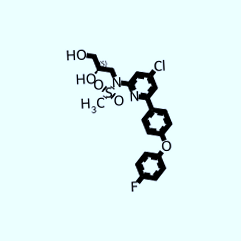 CS(=O)(=O)N(C[C@H](O)CO)c1cc(Cl)cc(-c2ccc(Oc3ccc(F)cc3)cc2)n1